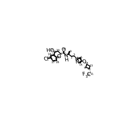 C=C(CCn1cc(O[C@H]2C[C@@H](CC(F)(F)F)C2)cn1)NC(=O)[C@H]1C[C@@H](O)c2cc(Cl)ccc2O1